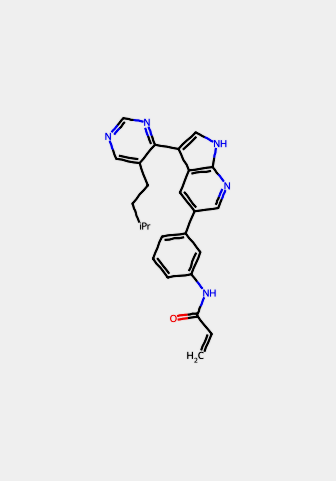 C=CC(=O)Nc1cccc(-c2cnc3[nH]cc(-c4ncncc4CCC(C)C)c3c2)c1